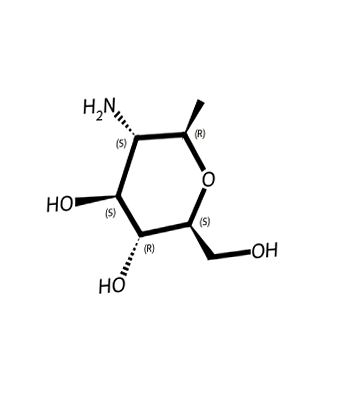 C[C@H]1O[C@@H](CO)[C@H](O)[C@@H](O)[C@@H]1N